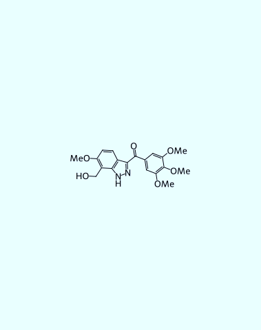 COc1cc(C(=O)c2n[nH]c3c(CO)c(OC)ccc23)cc(OC)c1OC